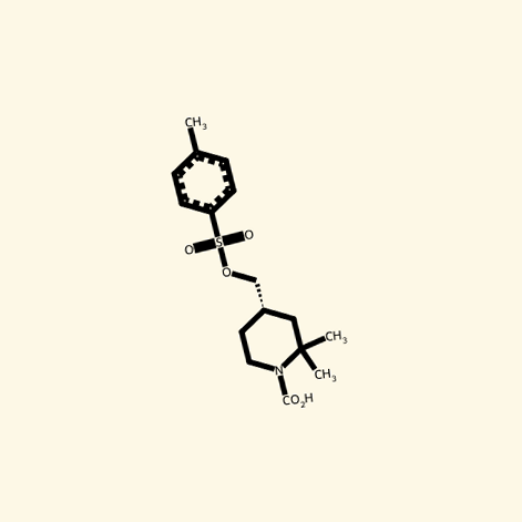 Cc1ccc(S(=O)(=O)OC[C@H]2CCN(C(=O)O)C(C)(C)C2)cc1